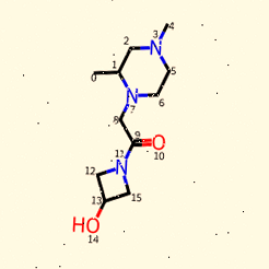 CC1CN(C)CCN1CC(=O)N1CC(O)C1